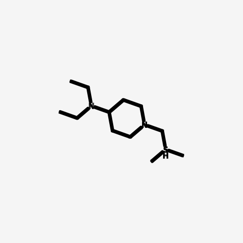 CCN(CC)C1CCN(C[SH](C)C)CC1